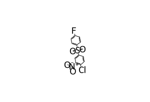 O=[N+]([O-])c1cc(S(=O)(=O)c2ccc(F)cc2)ccc1Cl